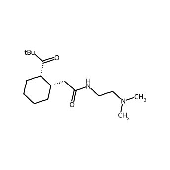 CN(C)CCNC(=O)C[C@@H]1CCCC[C@@H]1C(=O)C(C)(C)C